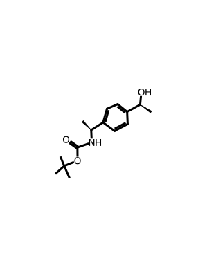 C[C@H](O)c1ccc([C@H](C)NC(=O)OC(C)(C)C)cc1